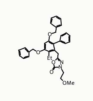 CCc1c(OCc2ccccc2)cc(OCc2ccccc2)c(-c2ccccc2)c1Cc1nn(CCOC)c(=O)o1